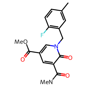 CNC(=O)c1cc(C(=O)OC)cn(Cc2cc(C)ccc2F)c1=O